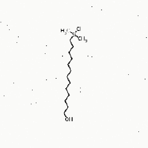 C[Si](C)(Cl)CCCCCCCCCCCCCO